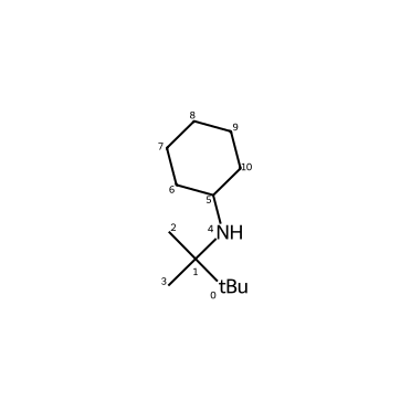 CC(C)(C)C(C)(C)NC1CCCCC1